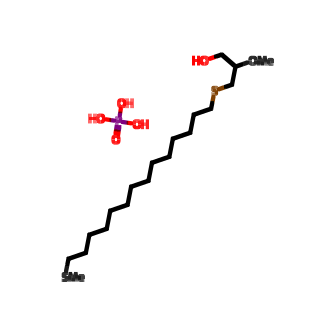 COC(CO)CSCCCCCCCCCCCCCCSC.O=P(O)(O)O